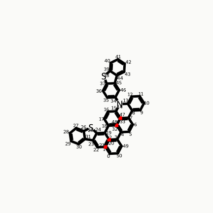 c1ccc(-c2ccc(-c3ccccc3N(c3ccc(-c4cccc5c4sc4ccccc45)cc3)c3ccc4sc5ccccc5c4c3)cc2)cc1